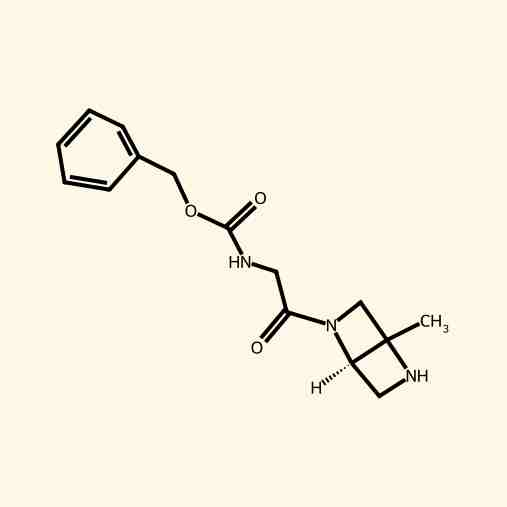 CC12CN(C(=O)CNC(=O)OCc3ccccc3)[C@@H]1CN2